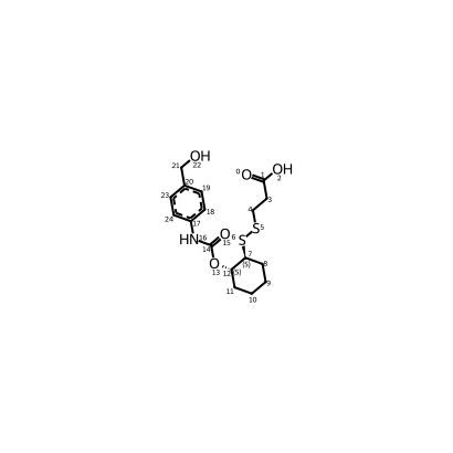 O=C(O)CCSS[C@H]1CCCC[C@@H]1OC(=O)Nc1ccc(CO)cc1